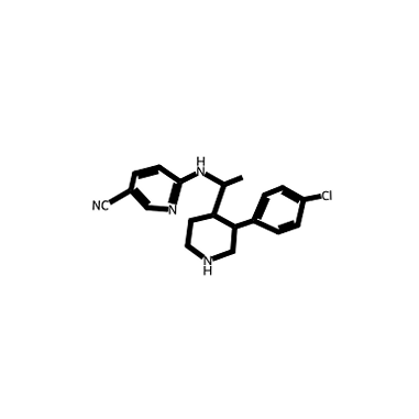 CC(Nc1ccc(C#N)cn1)C1CCNCC1c1ccc(Cl)cc1